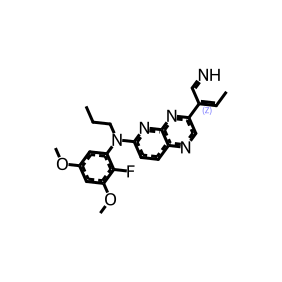 C/C=C(\C=N)c1cnc2ccc(N(CCC)c3cc(OC)cc(OC)c3F)nc2n1